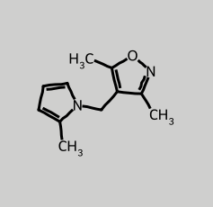 Cc1noc(C)c1Cn1cccc1C